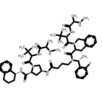 CNC(C)C(=O)NC(C(=O)N1Cc2ccccc2CC1C(=O)N(CCCC(=O)N[C@H]1C[C@@H](C(=O)N[C@@H]2CCCc3ccccc32)N(C(=O)C(NC(=O)C(C)NC)C(C)(C)C)C1)[C@H](C)c1ccccc1F)C(C)(C)C